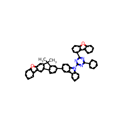 CC1(C)c2cc(-c3ccc4c(c3)c3ccccc3n4-c3nc(-c4ccccc4)nc(-c4cccc5oc6ccccc6c45)n3)ccc2-c2cc3c(cc21)oc1ccccc13